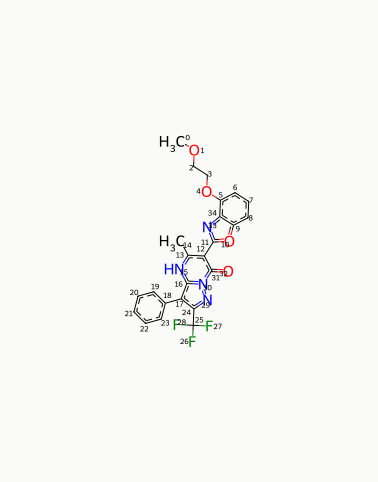 COCCOc1cccc2oc(-c3c(C)[nH]c4c(-c5ccccc5)c(C(F)(F)F)nn4c3=O)nc12